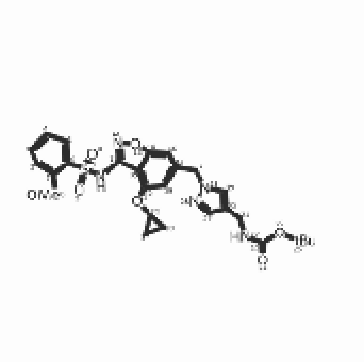 COc1ccccc1S(=O)(=O)Nc1noc2cc(Cn3cc(CNC(=O)OC(C)(C)C)cn3)cc(OC3CC3)c12